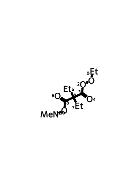 CCOOC(=O)C(CC)(CC)C(=O)ONC